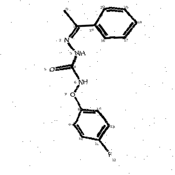 CC(=NNC(=O)NOc1ccc(F)cc1)c1ccccc1